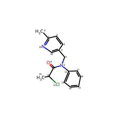 Cc1ccc(CN(C(=O)C(C)Cl)c2ccccc2)cn1